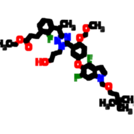 CCOC(=O)CCc1cccc(C(C)c2nc(-c3cc(Oc4c(F)cc5c(ccn5COCC[Si](C)(C)C)c4F)ccc3OCOC)n(CCCO)n2)c1F